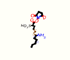 C=C/C=C\C=C(/N)SSCCC(C(=O)ON1C(=O)CCC1=O)S(=O)(=O)O